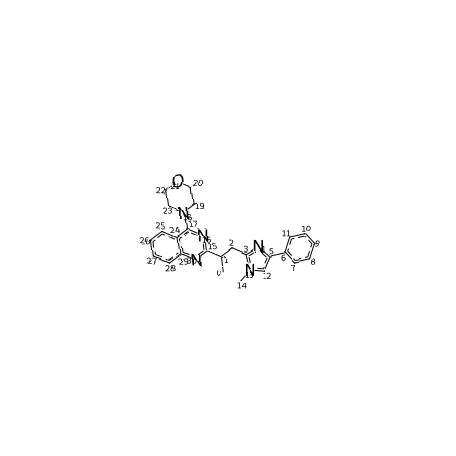 CC(Cc1nc(-c2ccccc2)cn1C)c1nc(N2CCOCC2)c2ccccc2n1